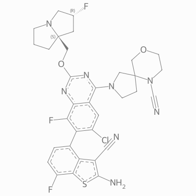 N#Cc1c(N)sc2c(F)ccc(-c3c(Cl)cc4c(N5CCC6(COCCN6C#N)C5)nc(OC[C@@]56CCCN5C[C@H](F)C6)nc4c3F)c12